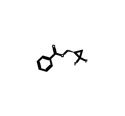 O=C(OC[C@@H]1CC1(F)F)c1ccccc1